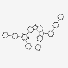 C1=CC2C(c3ccccc3N2c2cccc(-c3ccc(-c4ccccc4)cc3)c2)c2c1oc1ccc(-c3nc(-c4ccc(-c5ccccc5)cc4)nc(-c4cccc(-c5ccccc5)c4)n3)cc21